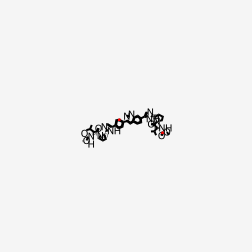 COC(=O)N[C@H](C(=O)N1CCC[C@H]1c1ncc(-c2ccc(-c3cc4ccc(-c5cnc([C@@H]6CCCN6C(=O)[C@@H](NC(=O)OC)C(C)C)[nH]5)cc4nn3)cc2)[nH]1)C(C)C